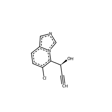 C#C[C@H](O)c1c(Cl)ccc2cncn12